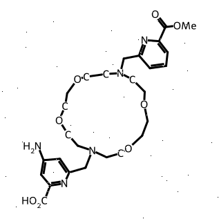 COC(=O)c1cccc(CN2CCOCCOCCN(Cc3cc(N)cc(C(=O)O)n3)CCOCCOCC2)n1